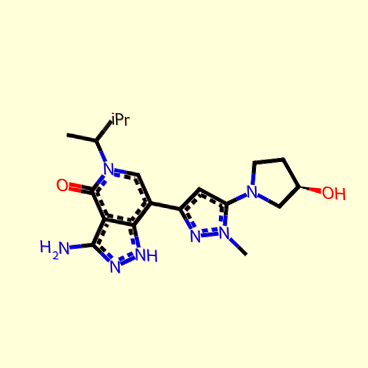 CC(C)C(C)n1cc(-c2cc(N3CC[C@@H](O)C3)n(C)n2)c2[nH]nc(N)c2c1=O